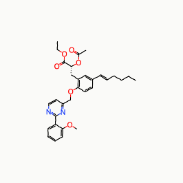 CCCC/C=C/c1ccc(OCc2ccnc(-c3ccccc3OC)n2)c(C[C@@H](OC(C)=O)C(=O)OCC)c1